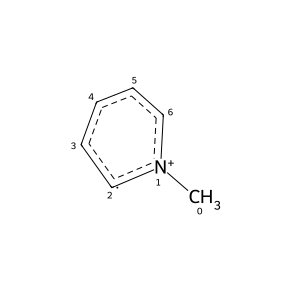 C[n+]1[c]cccc1